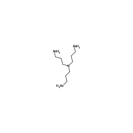 [AsH2]CCCN(CCC[AsH2])CCC[AsH2]